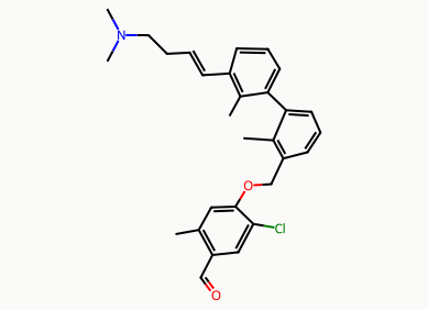 Cc1cc(OCc2cccc(-c3cccc(/C=C/CCN(C)C)c3C)c2C)c(Cl)cc1C=O